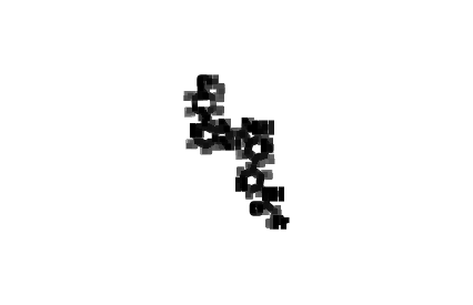 CC(C)CC(=O)Nc1cncc(-c2cnc3[nH]nc(-c4nc5c(N6CCN(C)CC6)nccc5[nH]4)c3c2)c1